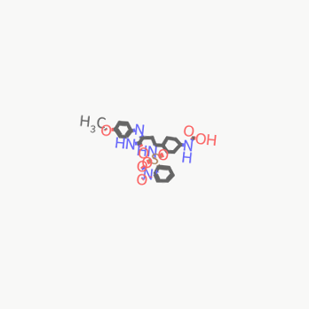 COc1ccc2nc(CC(NS(=O)(=O)c3ccccc3[N+](=O)[O-])C3CCC(NC(=O)O)CC3)c(=O)[nH]c2c1